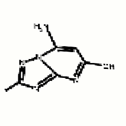 Cc1nc2nc(O)cc(N)n2n1